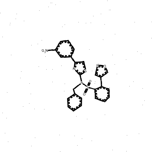 O=[N+]([O-])c1cccc(-c2csc(N(Cc3ccccc3)S(=O)(=O)c3ccccc3-c3cnoc3)n2)c1